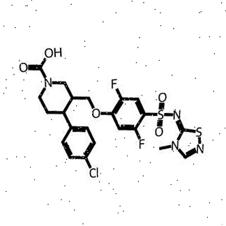 Cn1cns/c1=N/S(=O)(=O)c1cc(F)c(OCC2CN(C(=O)O)CCC2c2ccc(Cl)cc2)cc1F